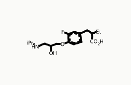 CCC(Cc1ccc(OCC(O)CNC(C)C)c(F)c1)C(=O)O